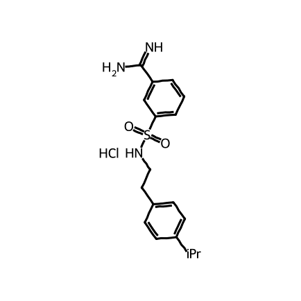 CC(C)c1ccc(CCNS(=O)(=O)c2cccc(C(=N)N)c2)cc1.Cl